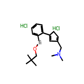 CN(C)CC1=CCC(c2cccc[c]2[Ti][O]CC(C)(C)C)=C1.Cl.Cl